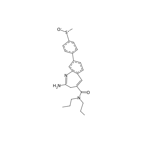 CCCN(CCC)C(=O)C1=Cc2ccc(-c3ccc([S+](C)[O-])cc3)cc2N=C(N)C1